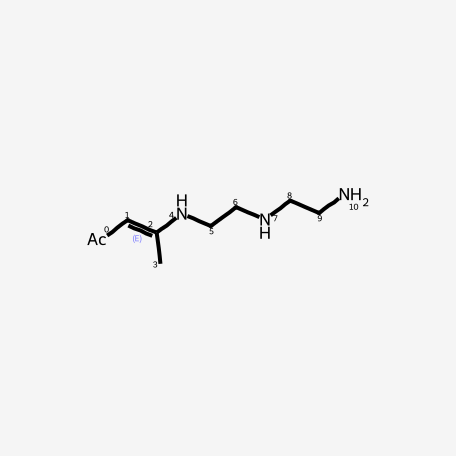 CC(=O)/C=C(\C)NCCNCCN